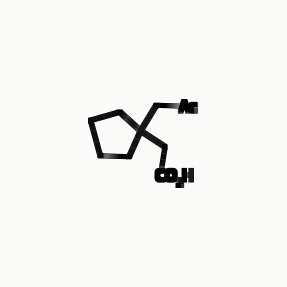 CC(=O)CC1(CC(=O)O)CCCC1